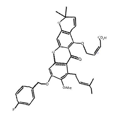 COc1c(OCc2ccc(F)cc2)cc2oc3cc4c(c(OC/C=C\C(=O)O)c3c(=O)c2c1CC=C(C)C)C=CC(C)(C)O4